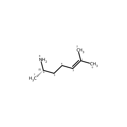 CC(C)=CCC[C@H](C)N